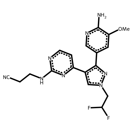 COc1cc(-c2nn(CC(F)F)cc2-c2ccnc(NCCC#N)n2)cnc1N